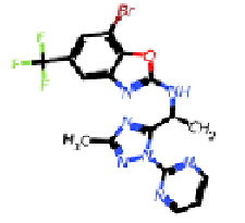 Cc1nc([C@H](C)Nc2nc3cc(C(F)(F)F)cc(Br)c3o2)n(-c2ncccn2)n1